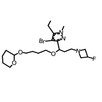 CCc1c(Br)c(C(CCN2CC(F)C2)OCCCCOC2CCCCO2)nn1C